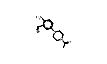 CC(=O)N1CCN(c2ccc(N)c(C=N)c2)CC1